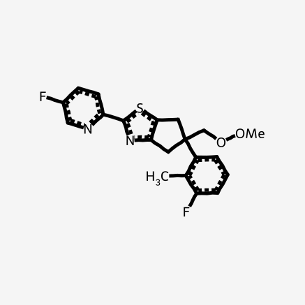 COOCC1(c2cccc(F)c2C)Cc2nc(-c3ccc(F)cn3)sc2C1